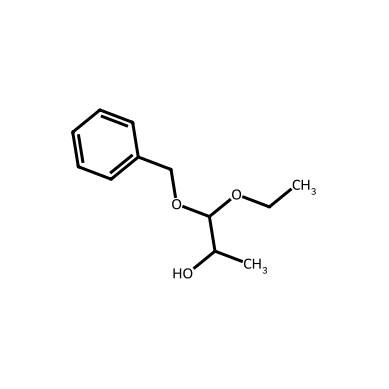 CCOC(OCc1ccccc1)C(C)O